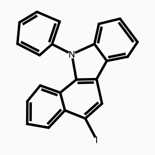 Ic1cc2c3ccccc3n(-c3ccccc3)c2c2ccccc12